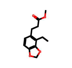 CCc1c(CCC(=O)OC)ccc2c1OCO2